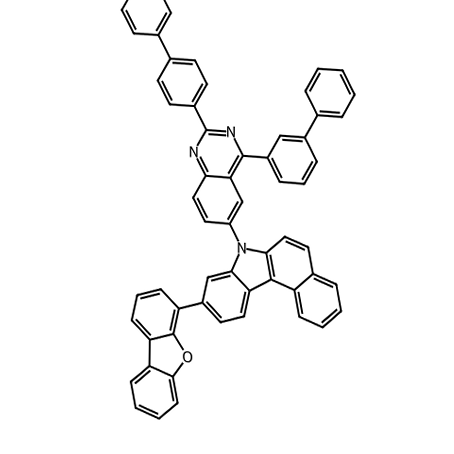 c1ccc(-c2ccc(-c3nc(-c4cccc(-c5ccccc5)c4)c4cc(-n5c6cc(-c7cccc8c7oc7ccccc78)ccc6c6c7ccccc7ccc65)ccc4n3)cc2)cc1